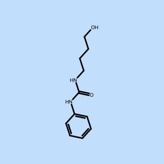 O=C(NCCCCO)Nc1ccccc1